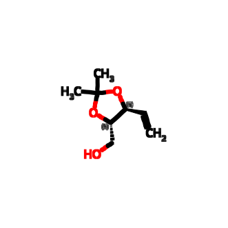 C=C[C@@H]1OC(C)(C)O[C@H]1CO